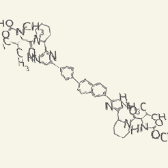 COC(=O)NC(C(=O)N1CCCCC1c1nc(-c2ccc3cc(-c4ccc(-c5c[nH]c([C@@H]6CCCCN6C(=O)[C@H](C(C)C)N(C)C(=O)O)n5)cc4)ccc3c2)c[nH]1)C(C)C